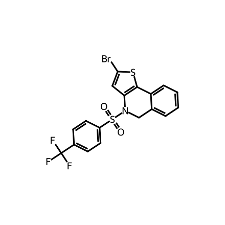 O=S(=O)(c1ccc(C(F)(F)F)cc1)N1Cc2ccccc2-c2sc(Br)cc21